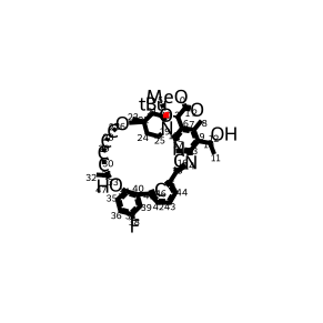 COC(=O)[C@@H](OC(C)(C)C)c1c(C)c(C(C)O)c2nc3cn2c1N1CCC(C)(CC1)OCCCC[C@H](C)Oc1ccc(F)cc1-c1cccc-3c1